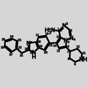 Nc1ncnn2c(C3CCNCC3)cc(-c3ccc4nc(Cc5ccccc5)[nH]c4c3)c12